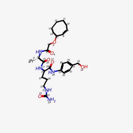 CC(C)[C@H](NC(=O)COC1/C=C\CCCCC1)C(=O)NC(CCCNC(N)=O)C(=O)Nc1ccc(CO)cc1